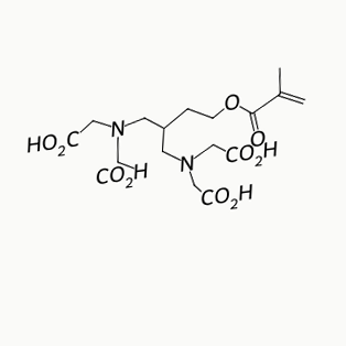 C=C(C)C(=O)OCCC(CN(CC(=O)O)CC(=O)O)CN(CC(=O)O)CC(=O)O